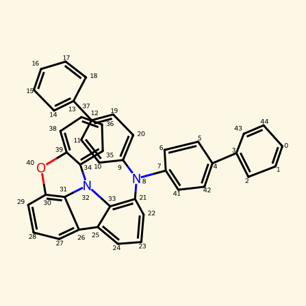 c1ccc(-c2ccc(N(c3ccc(-c4ccccc4)cc3)c3cccc4c5cccc6c5n(c34)-c3ccccc3O6)cc2)cc1